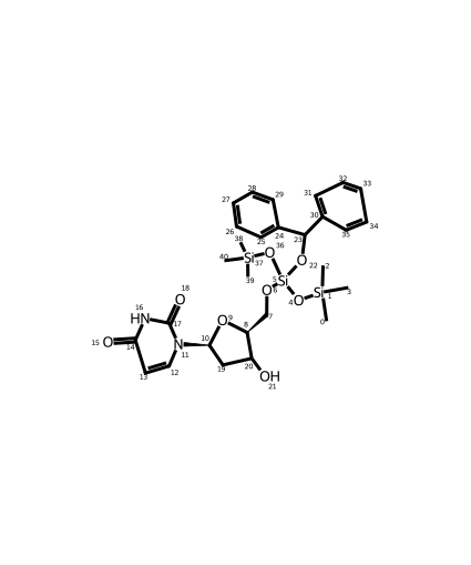 C[Si](C)(C)O[Si](OC[C@@H]1O[C@H](n2ccc(=O)[nH]c2=O)CC1O)(OC(c1ccccc1)c1ccccc1)O[Si](C)(C)C